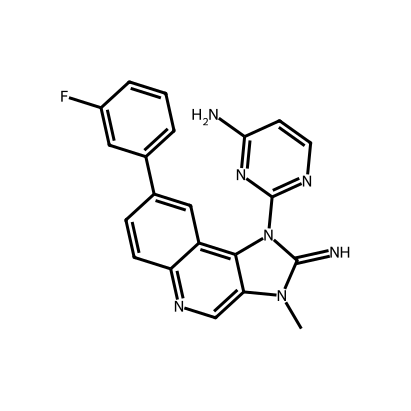 Cn1c(=N)n(-c2nccc(N)n2)c2c3cc(-c4cccc(F)c4)ccc3ncc21